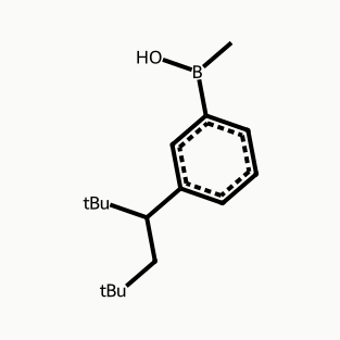 CB(O)c1cccc(C(CC(C)(C)C)C(C)(C)C)c1